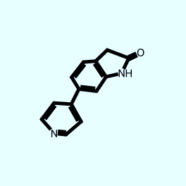 O=C1Cc2ccc(-c3ccncc3)cc2N1